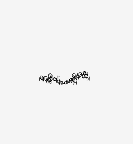 CC1(C)[C@H](NC(=O)c2ccc(N3CCC(CN4CCN(c5cc6c(cc5F)C(=O)N(C5CCC(=O)NC5=O)C6=O)CC4)CC3)nn2)C(C)(C)[C@H]1Oc1ccc(C#N)c2ncccc12